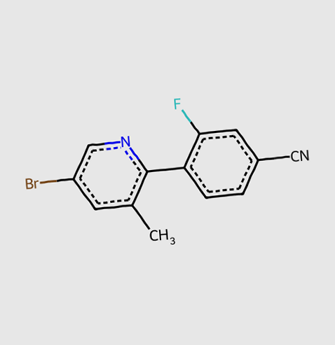 Cc1cc(Br)cnc1-c1ccc(C#N)cc1F